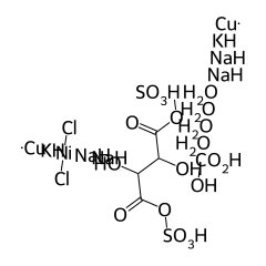 O.O.O.O.O=C(O)O.O=C(OS(=O)(=O)O)C(O)C(O)C(=O)OS(=O)(=O)O.[Cl][Ni][Cl].[Cu].[Cu].[KH].[KH].[NaH].[NaH].[NaH].[NaH]